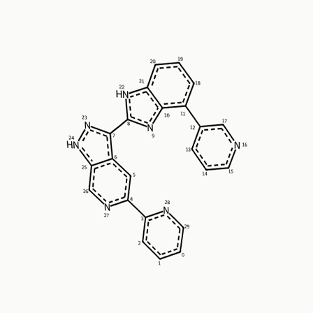 c1ccc(-c2cc3c(-c4nc5c(-c6cccnc6)cccc5[nH]4)n[nH]c3cn2)nc1